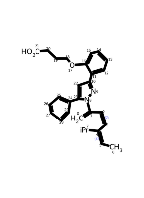 C=C(/C=C\C(=C/C)C(C)C)n1nc(-c2ccccc2OCCCC(=O)O)cc1-c1ccccc1